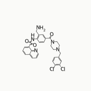 NCc1cc(C(=O)N2CCN(Cc3ccc(Cl)c(Cl)c3)CC2)ccc1NS(=O)(=O)c1cccc2cccnc12